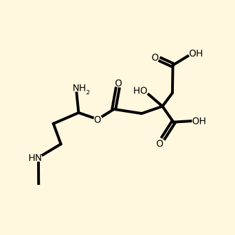 CNCCC(N)OC(=O)CC(O)(CC(=O)O)C(=O)O